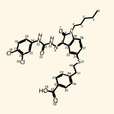 CCCCCN1C(=O)/C(=N\NC(=O)Nc2ccc(Cl)c(Cl)c2)c2cc(SCCc3ccc(C(=O)O)cc3)ccc21